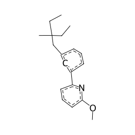 CCC(C)(CC)Cc1cccc(-c2cccc(OC)n2)c1